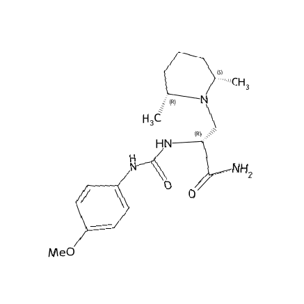 COc1ccc(NC(=O)N[C@H](CN2[C@H](C)CCC[C@@H]2C)C(N)=O)cc1